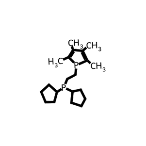 Cc1c(C)c(C)p(CCP(C2CCCC2)C2CCCC2)c1C